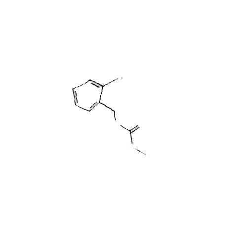 CCCCCCCCNC(=O)OCc1ccccc1[N+](=O)[O-]